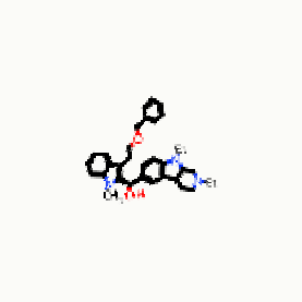 CCN1CCC2c3cc(C(O)c4c(CCOCc5ccccc5)c5ccccc5n4C)ccc3N(CC)C2C1